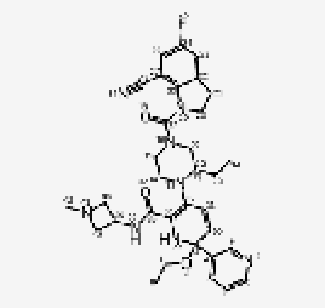 CCOC1(c2cccnc2)C=CC(N2CCN(C(=O)N3CCc4cc(F)cc(C#N)c43)C[C@H]2CC)=C(C(=O)NC2CN(C)C2)N1